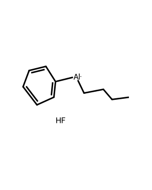 CCC[CH2][Al][c]1ccccc1.F